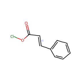 O=C(/C=C/c1ccccc1)OCl